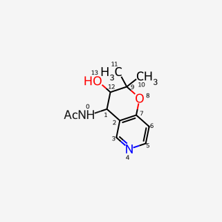 CC(=O)NC1c2cnccc2OC(C)(C)C1O